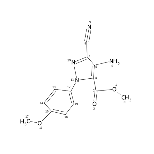 COC(=O)c1c(N)c(C#N)nn1-c1ccc(OC)cc1